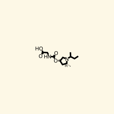 CCC(C)N1C[C@@H](OC(=O)NCC(=O)O)C[C@H]1C